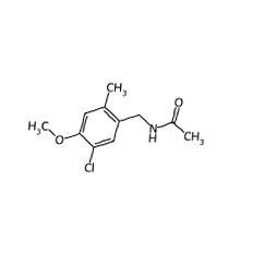 COc1cc(C)c(CNC(C)=O)cc1Cl